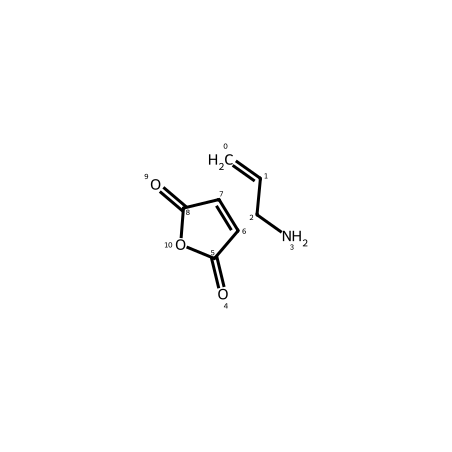 C=CCN.O=C1C=CC(=O)O1